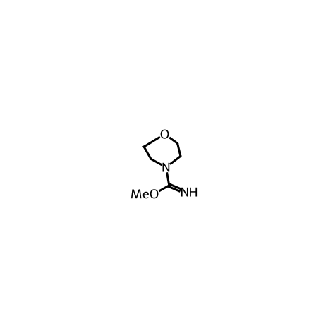 COC(=N)N1CCOCC1